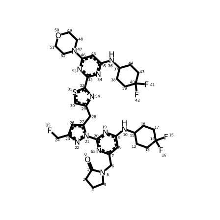 O=C1CCCN1Cc1cc(NC2CCC(F)(F)CC2)nc(-n2nc(CF)cc2Cc2csc(-c3nc(NC4CCC(F)(F)CC4)cc(N4CCOCC4)n3)n2)n1